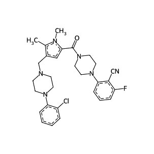 Cc1c(CN2CCN(c3ccccc3Cl)CC2)cc(C(=O)N2CCN(c3cccc(F)c3C#N)CC2)n1C